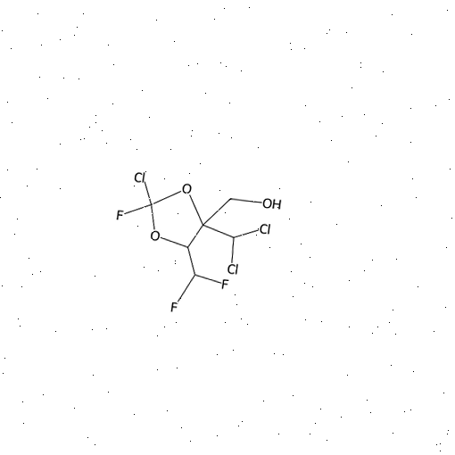 OCC1(C(Cl)Cl)OC(F)(Cl)OC1C(F)F